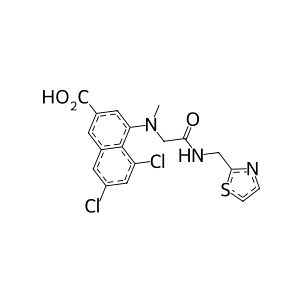 CN(CC(=O)NCc1nccs1)c1cc(C(=O)O)cc2cc(Cl)cc(Cl)c12